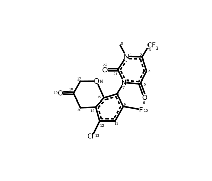 Cn1c(C(F)(F)F)cc(=O)n(-c2c(F)cc(Cl)c3c2OCC(=O)C3)c1=O